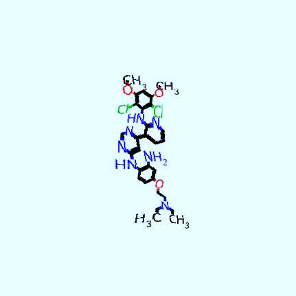 CCN(CC)CCOc1ccc(Nc2cc(-c3cccnc3Nc3c(Cl)c(OC)cc(OC)c3Cl)ncn2)c(N)c1